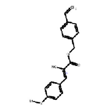 C=Cc1ccc(COC(=O)/C(C#N)=C/c2ccc(SCC)cc2)cc1